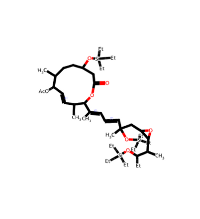 CCC(O[Si](CC)(CC)CC)C(C)C1OC1CC(C)(/C=C/C=C(\C)C1OC(=O)CC(O[Si](CC)(CC)CC)CCC(C)C(OC(C)=O)/C=C/C1C)O[Si](CC)(CC)CC